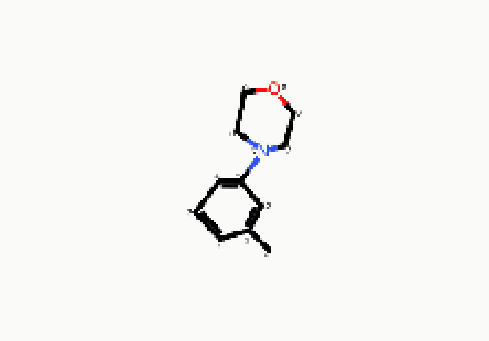 Cc1cccc(N2CCOCC2)c1